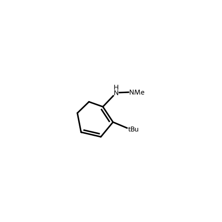 CNNC1=C(C(C)(C)C)C=CCC1